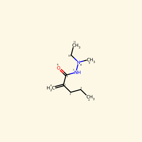 C=C(CCC)C(=O)NN(C)CC